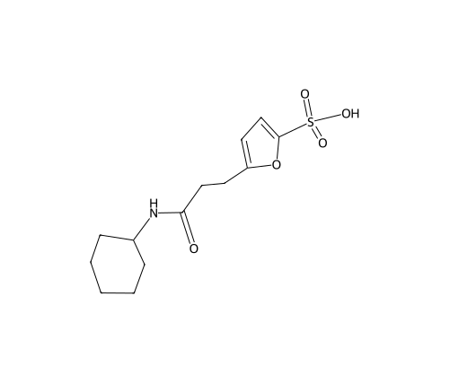 O=C(CCc1ccc(S(=O)(=O)O)o1)NC1CCCCC1